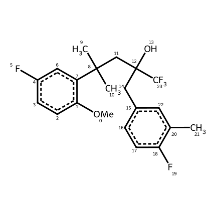 COc1ccc(F)cc1C(C)(C)CC(O)(Cc1ccc(F)c(C)c1)C(F)(F)F